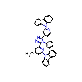 Cc1cc(-c2nnc(-c3ccnc(-n4c5c(c6ccccc64)C=CCC5)c3)n2-c2ccccc2)nc(-n2c3ccccc3c3ccccc32)c1